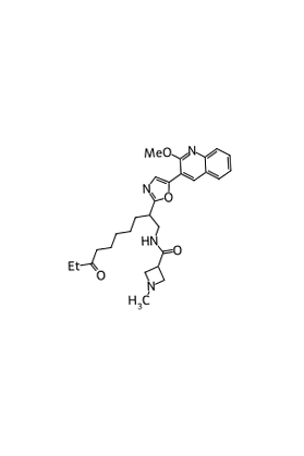 CCC(=O)CCCCCC(CNC(=O)C1CN(C)C1)c1ncc(-c2cc3ccccc3nc2OC)o1